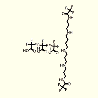 O=C(NCCCNCCCCNCCCNCCCNC(=O)C(F)(F)F)C(F)(F)F.O=C(O)C(F)(F)F.O=C(O)C(F)(F)F.O=C(O)C(F)(F)F